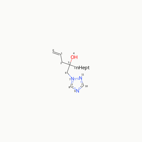 C=CCC(O)(CCCCCCC)Cn1cncn1